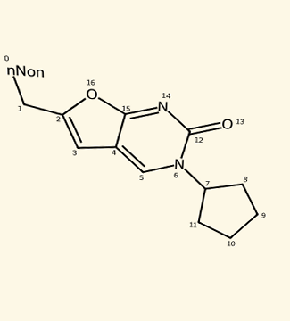 CCCCCCCCCCc1cc2cn(C3CCCC3)c(=O)nc2o1